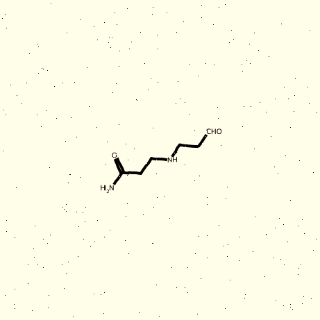 NC(=O)CCNCCC=O